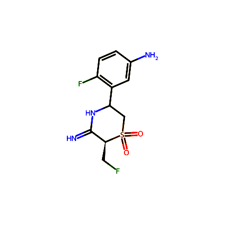 N=C1NC(c2cc(N)ccc2F)CS(=O)(=O)[C@H]1CF